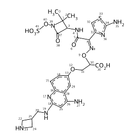 CC1(C)C(NC(=O)/C(=N\OC(COc2ccc3nc(NCC4CNC4)cc(N)c3c2)C(=O)O)c2csc(N)n2)C(=O)N1OS(=O)(=O)O